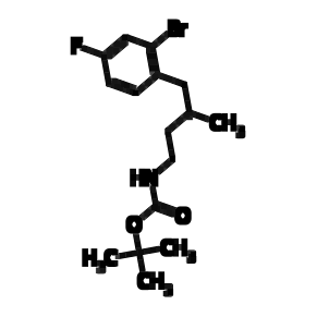 C[C](CCNC(=O)OC(C)(C)C)Cc1ccc(F)cc1Br